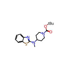 CN(c1nc2ccccc2s1)C1CCN(C(=O)OC(C)(C)C)CC1